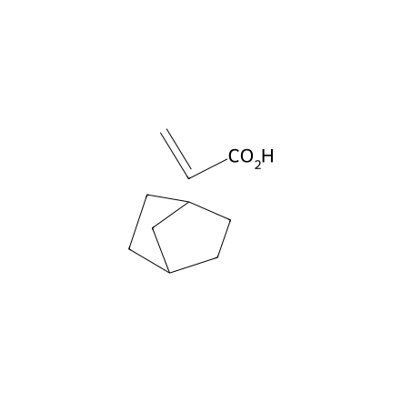 C1CC2CCC1C2.C=CC(=O)O